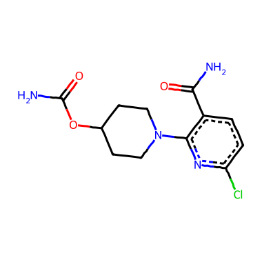 NC(=O)OC1CCN(c2nc(Cl)ccc2C(N)=O)CC1